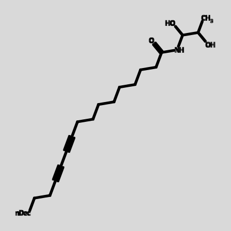 CCCCCCCCCCCCC#CC#CCCCCCCCCC(=O)NC(O)C(C)O